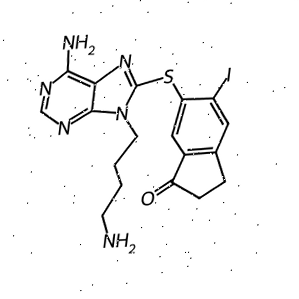 NCCCCn1c(Sc2cc3c(cc2I)CCC3=O)nc2c(N)ncnc21